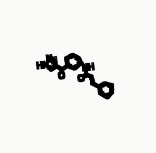 O=C(C=Cc1ccccc1)Nc1cccc(C(=O)c2c[nH]nn2)c1